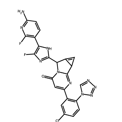 Nc1ccc(-c2[nH]c(C3C4=CC4c4nc(-c5cc(Cl)ccc5-n5cnnn5)cc(=O)n43)nc2F)c(F)n1